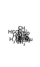 C#CCCC(NC(=O)[C@@H]1[C@@H]2[C@H](CN1C(=O)C([C@H](CN1C(=O)Cc3ccccc3C1=O)C(C)(C)C)C(C)(C)C)C2(C)C)C(=O)C(=O)NCC=C